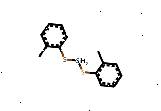 Cc1ccccc1S[SiH2]Sc1ccccc1C